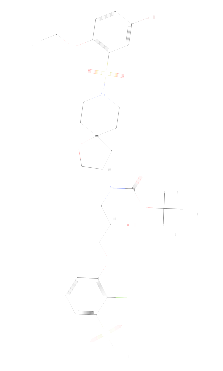 CCOc1ccc(Br)cc1S(=O)(=O)N1CCC2(CC1)C[C@H](N(C[C@H](O)COc1cccc(S(C)(=O)=O)c1F)C(=O)OC(C)(C)C)CO2